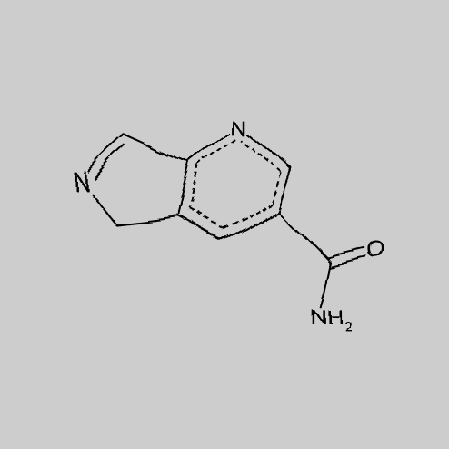 NC(=O)c1cnc2c(c1)CN=C2